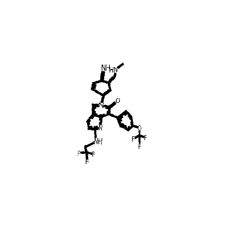 CN/C=C1/C=C(n2cc3ccc(NCC(F)(F)F)nc3c(-c3ccc(OC(F)(F)F)cc3)c2=O)C=CC1=N